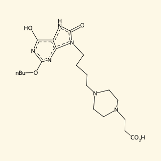 CCCCOc1nc(O)c2[nH]c(=O)n(CCCCN3CCN(CCC(=O)O)CC3)c2n1